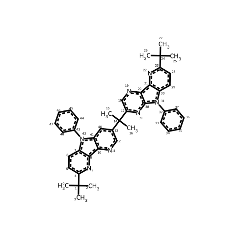 CC(C)(C)c1ccc2c(n1)c1ncc(C(C)(C)c3cnc4c5nc(C(C)(C)C)ccc5n(-c5ccccc5)c4n3)cc1n2-c1ccccc1